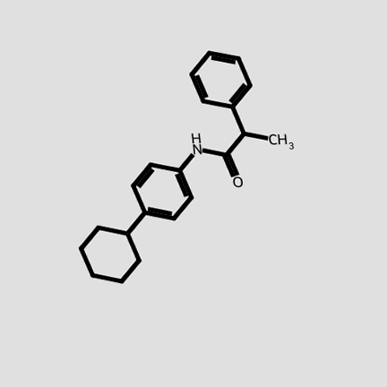 CC(C(=O)Nc1ccc(C2CCCCC2)cc1)c1ccccc1